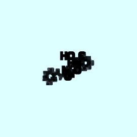 O=C(Cc1noc(CCC2CCCCC2)n1)Nc1ccccc1C(=O)O